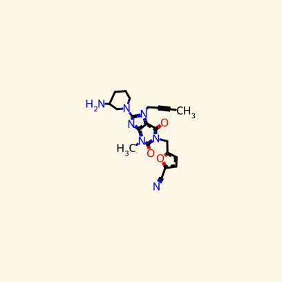 CC#CCn1c(N2CCCC(N)C2)nc2c1c(=O)n(Cc1ccc(C#N)o1)c(=O)n2C